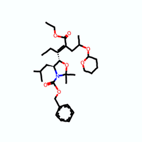 CCOC(=O)C(CC(C)OC1CCCCO1)=C(CC)[C@@H]1OC(C)(C)N(C(=O)OCc2ccccc2)[C@H]1CC(C)C